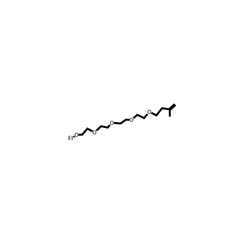 [CH2]COCCOCCOCCOCCOCCC(=C)C